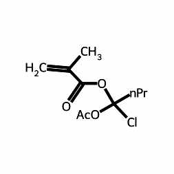 C=C(C)C(=O)OC(Cl)(CCC)OC(C)=O